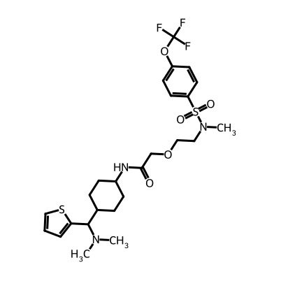 CN(C)C(c1cccs1)C1CCC(NC(=O)COCCN(C)S(=O)(=O)c2ccc(OC(F)(F)F)cc2)CC1